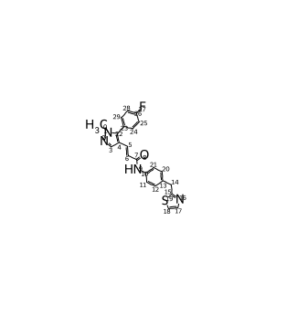 Cn1ncc(C=CC(=O)Nc2ccc(Cc3nccs3)cc2)c1-c1ccc(F)cc1